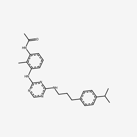 CC(=O)Nc1cccc(Nc2ncnc(NCCCc3ccc(C(C)C)cc3)n2)c1C